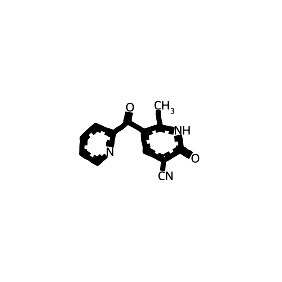 Cc1[nH]c(=O)c(C#N)cc1C(=O)c1ccccn1